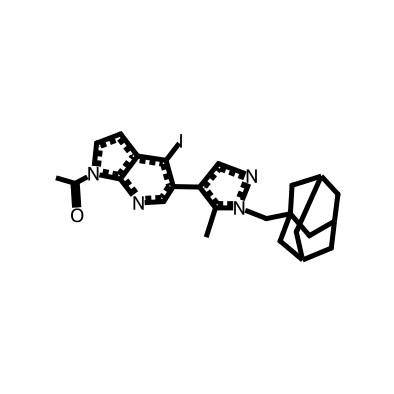 CC(=O)n1ccc2c(I)c(-c3cnn(CC45CC6CC(CC(C6)C4)C5)c3C)cnc21